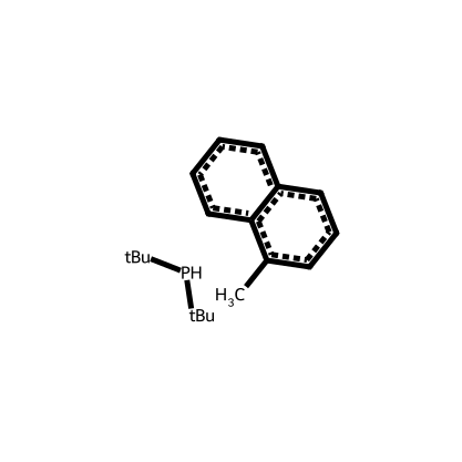 CC(C)(C)PC(C)(C)C.Cc1cccc2ccccc12